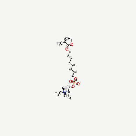 C=C(C)C(=O)OCCCCCCCCOP(=O)([O-])OCC[N+](C)(C)C